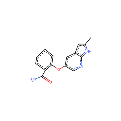 Cc1cc2cc(Oc3ccccc3C(N)=O)cnc2[nH]1